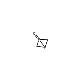 O=P12CP1C2